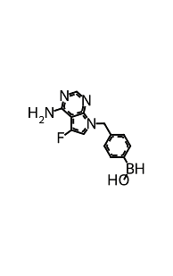 Nc1ncnc2c1c(F)cn2Cc1ccc(BO)cc1